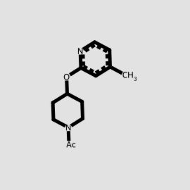 CC(=O)N1CCC(Oc2cc(C)ccn2)CC1